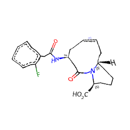 O=C(N[C@H]1C/C=C\C[C@@H]2CC[C@@H](C(=O)O)N2C1=O)c1ccccc1F